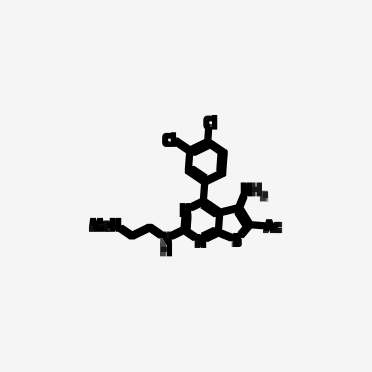 CNCCNc1nc(-c2ccc(Cl)c(Cl)c2)c2c(N)c(C(C)=O)sc2n1